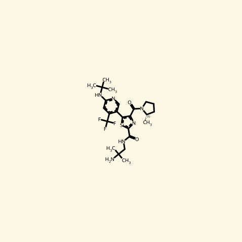 C[C@H]1CCCN1C(=O)c1nc(C(=O)NCC(C)(C)N)sc1-c1cnc(NC(C)(C)C)cc1C(F)(F)F